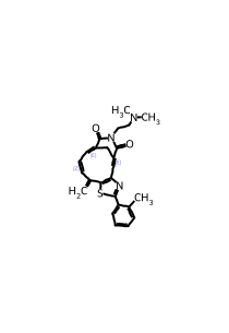 C=C1/C=C\C=C2/C/C(=C\c3nc(-c4ccccc4C)sc31)C(=O)N(CCN(C)C)C2=O